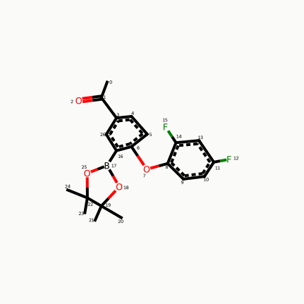 CC(=O)c1ccc(Oc2ccc(F)cc2F)c(B2OC(C)(C)C(C)(C)O2)c1